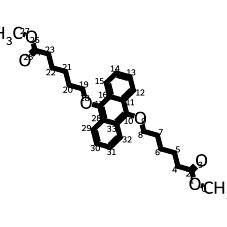 COC(=O)CCCCCOc1c2ccccc2c(OCCCCCC(=O)OC)c2ccccc12